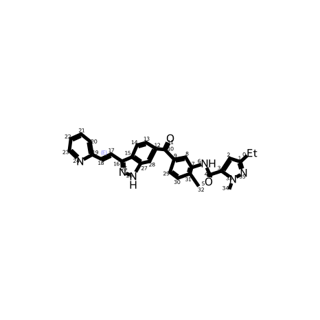 CCc1cc(C(=O)Nc2cc(C(=O)c3ccc4c(/C=C/c5ccccn5)n[nH]c4c3)ccc2C)n(C)n1